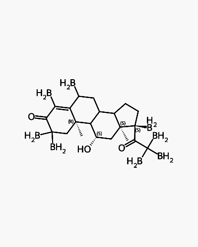 BC1=C2C(B)CC3C([C@@H](O)C[C@@]4(C)C3CC[C@]4(B)C(=O)C(B)(B)B)[C@@]2(C)CC(B)(B)C1=O